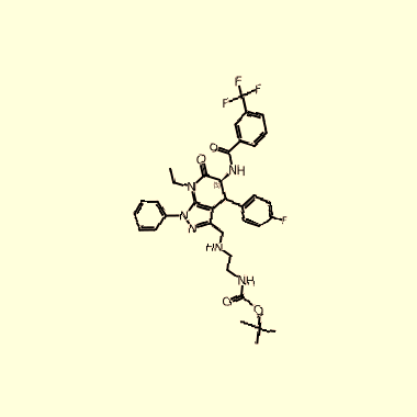 CCN1C(=O)[C@@H](NC(=O)c2cccc(C(F)(F)F)c2)C(c2ccc(F)cc2)c2c(CNCCNC(=O)OC(C)(C)C)nn(-c3ccccc3)c21